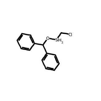 ClC[SiH2]OC(c1ccccc1)c1ccccc1